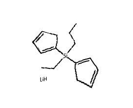 CCC[Si](CC)(C1=CC=CC1)C1=CC=CC1.[LiH]